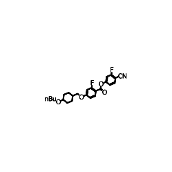 CCCCOC1CCC(COc2ccc(C(=O)Oc3ccc(C#N)c(F)c3)c(F)c2)CC1